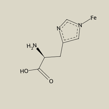 N[C@@H](Cc1c[n]([Fe])cn1)C(=O)O